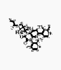 BC(B)(n1c(=O)c(=O)n(-c2c(C)ccnc2C(C)C)c2nc(-c3ccnc(C)c3Cl)c(Cl)cc21)C1(F)CN(C(=O)C=C)C1